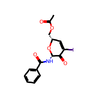 CC(=O)OC[C@@H]1C=C(I)C(=O)[C@H](NC(=O)c2ccccc2)O1